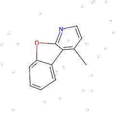 Cc1ccnc2oc3ccccc3c12